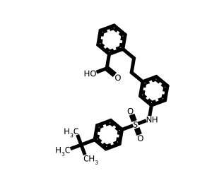 CC(C)(C)c1ccc(S(=O)(=O)Nc2cccc(CCc3ccccc3C(=O)O)c2)cc1